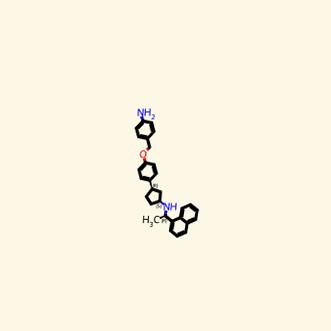 C[C@@H](N[C@H]1CC[C@@H](c2ccc(OCc3ccc(N)cc3)cc2)C1)c1cccc2ccccc12